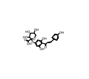 O=C(C=Cc1ccc(O)cc1)c1c(O)cc(OC2(C(=O)O)OCC(O)C(O)C2O)cc1O